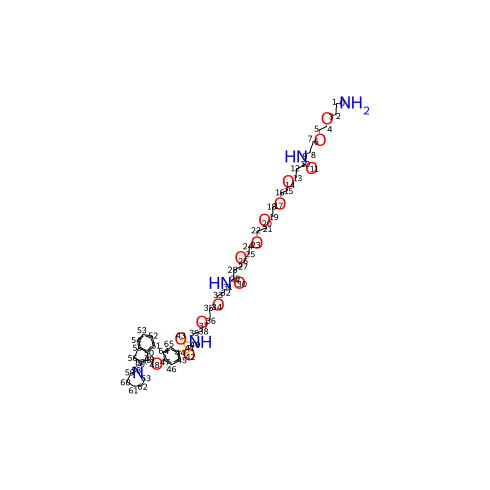 NCCOCCOCCNC(=O)CCOCCOCCOCCOCCOCCC(=O)NCCOCCOCCNS(=O)(=O)c1ccc(O[C@H]2c3ccccc3C[C@@H]2N2CCCCC2)cc1